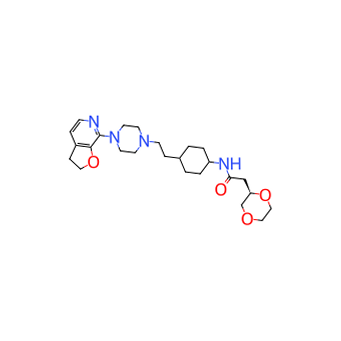 O=C(C[C@@H]1COCCO1)NC1CCC(CCN2CCN(c3nccc4c3OCC4)CC2)CC1